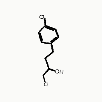 OC(CCl)CCc1ccc(Cl)cc1